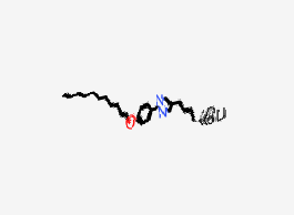 C=CCCCCCCCCCOc1ccc(-c2ncc(CCCC[C@@H](C)CC)cn2)cc1